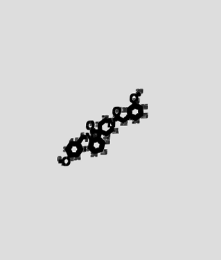 COc1ccc(CNC(=O)C2(c3ccccc3)CCN(C(=O)Cc3cccc(OC)c3)CC2)cc1